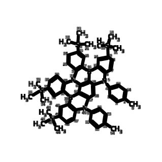 Cc1ccc(N2c3ccc([Si](C)(C)C)cc3B3c4cc([Si](C)(C)C)ccc4N4c5ccc([Si](C)(C)C)cc5B5c6cc([Si](C)(C)C)ccc6N(c6ccc(C)cc6)c6cc2c3c4c65)cc1